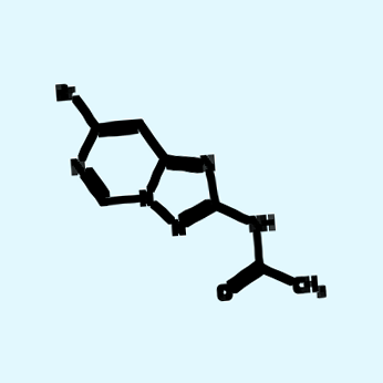 CC(=O)Nc1nc2cc(Br)ncn2n1